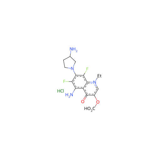 CCn1cc(OC(=O)O)c(=O)c2c(N)c(F)c(N3CCC(N)C3)c(F)c21.Cl